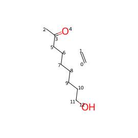 C=C.CC(=O)CCCCCCCO